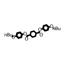 CCCCOc1ccc(OC(=O)C2CCC(C(=O)Oc3ccc(OCCCC)cc3)CC2)cc1